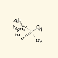 O=P(O)(O)O.[AlH3].[LiH].[MgH2]